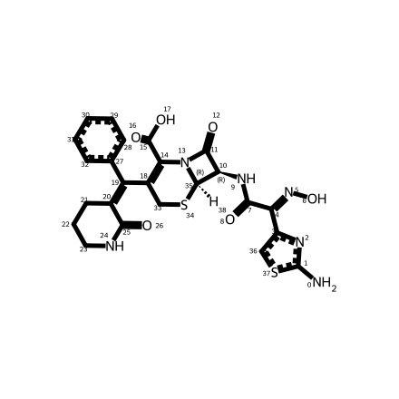 Nc1nc(C(=NO)C(=O)N[C@@H]2C(=O)N3C(C(=O)O)=C(C(=C4CCCNC4=O)c4ccccc4)CS[C@H]23)cs1